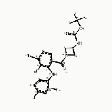 CC(C)(C)OC(=O)NC1CN(C(=O)c2ccc(F)c(F)c2Nc2ccc(I)cc2F)C1